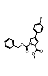 COC(=O)[C@@H]1C=C(c2ccc(F)cc2)CN1C(=O)OCc1ccccc1